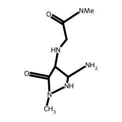 CNC(=O)CNC1C(=O)N(C)NC1N